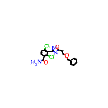 NC(=O)c1ccc(Cl)c(-c2noc([CH]COCc3ccccc3)n2)c1Cl